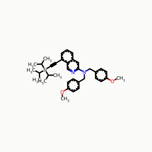 COc1ccc(CN(Cc2ccc(OC)cc2)c2cc3cccc(C#C[Si](C(C)C)(C(C)C)C(C)C)c3cn2)cc1